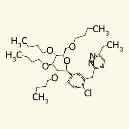 CCCCOC[C@H]1O[C@@H](c2ccc(Cl)c(Cc3ccc(CC)nn3)c2)[C@H](OCCCC)[C@@H](OCCCC)[C@@H]1OCCCC